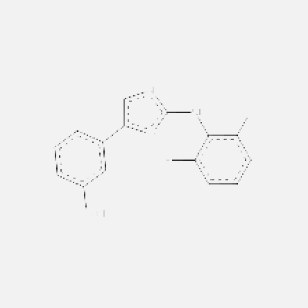 O=C(O)c1cccc(-c2cnc(Nc3c(F)cccc3F)o2)c1